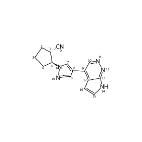 N#C[C@H]1CCC[C@@H]1n1cc(-c2cnnc3[nH]ccc23)cn1